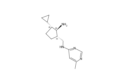 Cc1cc(NC[C@@H]2CC[C@H](C3CC3)[C@H]2N)ncn1